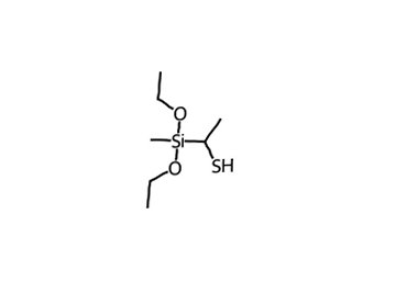 CCO[Si](C)(OCC)C(C)S